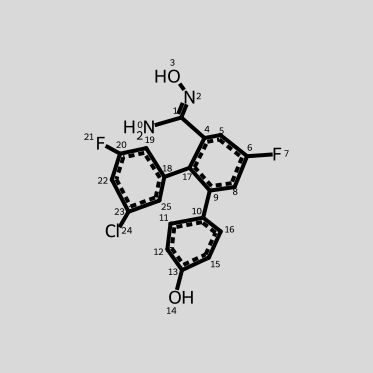 N/C(=N\O)c1cc(F)cc(-c2ccc(O)cc2)c1-c1cc(F)cc(Cl)c1